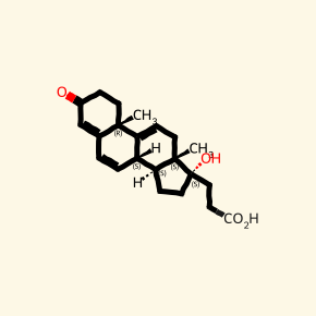 C[C@]12CCC(=O)C=C1C=C[C@@H]1C2=CC[C@@]2(C)[C@H]1CC[C@]2(O)CCC(=O)O